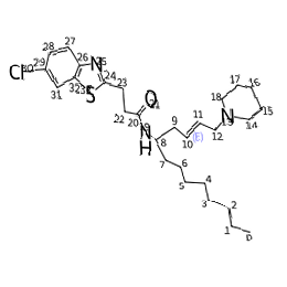 CCCCCCCCC(C/C=C/CN1CCCCC1)NC(=O)CCc1nc2ccc(Cl)cc2s1